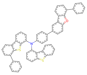 c1ccc(-c2cccc3c2oc2ccc(-c4ccc(N(c5cccc6c5sc5c(-c7ccccc7)cccc56)c5cccc6sc7ccccc7c56)cc4)cc23)cc1